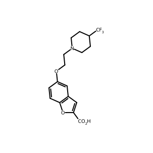 O=C(O)c1cc2cc(OCCN3CCC(C(F)(F)F)CC3)ccc2o1